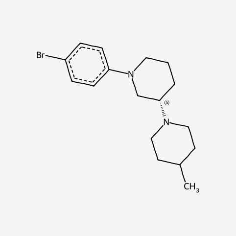 CC1CCN([C@H]2CCCN(c3ccc(Br)cc3)C2)CC1